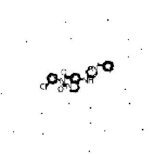 O=c1c2ccc(NC3CCN(Cc4ccccc4)CC3)c3c2n(c(=O)n1-c1cccc(Cl)c1)CCC3